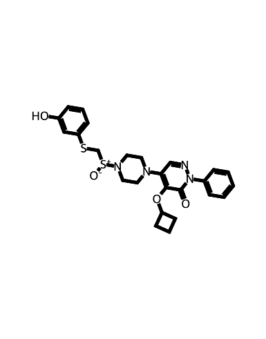 O=c1c(OC2CCC2)c(N2CCN([S+]([O-])CSc3cccc(O)c3)CC2)cnn1-c1ccccc1